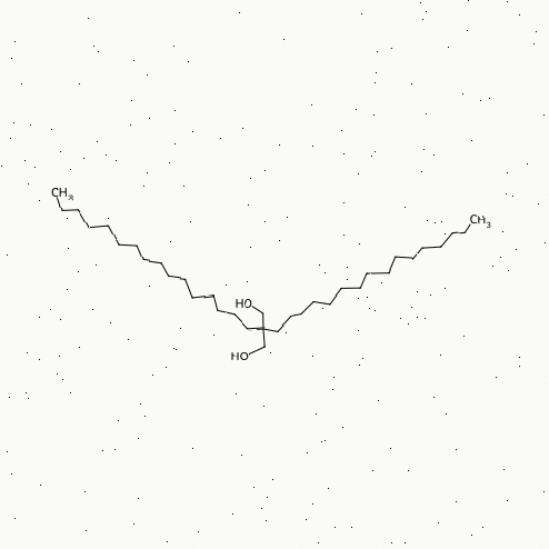 CCCCCCCCCCCCCCCCC(CO)(CO)CCCCCCCCCCCCCCCC